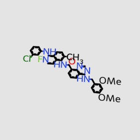 COc1ccc(CNc2ncnc3c(C(=O)Nc4c(C)ccc5c(Nc6cccc(Cl)c6F)nccc45)cccc23)c(OC)c1